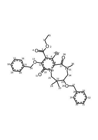 CCOC(=O)c1c(Br)c2n(c(=O)c1OCc1ccccc1)CC(C)(C)C(OCc1ccccc1)CN(C)C2=O